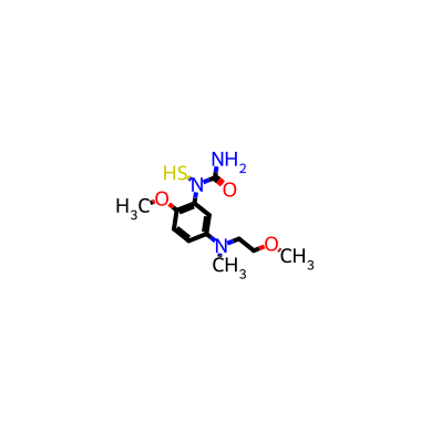 COCCN(C)c1ccc(OC)c(N(S)C(N)=O)c1